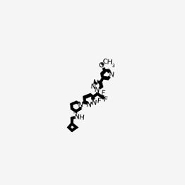 COc1cncc(-c2cn(C(c3ccc(N4CCC[C@@H](NCC5CCC5)C4)nn3)C(F)(F)F)nn2)c1